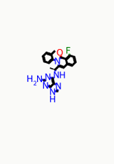 Cc1ccccc1-n1c([C@H](C)Nc2nc(N)nc3[nH]cnc23)cc2cccc(F)c2c1=O